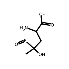 CC(O)(CC(N)C(=O)O)P=O